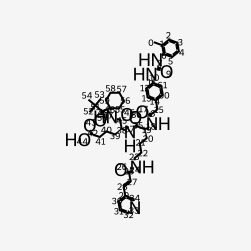 Cc1ccccc1NC(=O)Nc1ccc(CC(=O)N[C@@H](CCCCNC(=O)/C=C/c2cccnc2)C(=O)N[C@@H](CCCC(=O)O)C(=O)NC2(C(=O)C(C)(C)C)CCCCC2)cc1